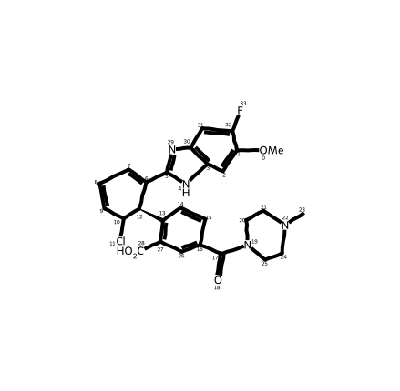 COc1cc2[nH]c(C3=CC=CC(Cl)[C@@H]3c3ccc(C(=O)N4CCN(C)CC4)cc3C(=O)O)nc2cc1F